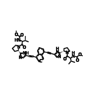 COC(=O)N[C@H](C(=O)N1CCC[C@H]1c1ncc(C#Cc2cccc3c(C#Cc4cnc([C@@H]5CCCN5C(=O)[C@@H](NC(=O)OC)C(C)C)[nH]4)cccc23)[nH]1)C(C)C